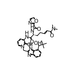 CN(C)C(=O)/C=C/CC[C@H](NC(=O)c1ncco1)C(=O)Nc1cccn(Cc2nc3cccc(C(O)C(C)(C)C)c3[nH]2)c1=O